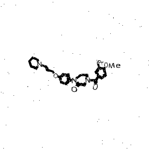 COc1ccc(C(=O)N2CCN(c3ccc(OCCCN4CCCCC4)cc3)C(=O)C2)cc1C(C)C